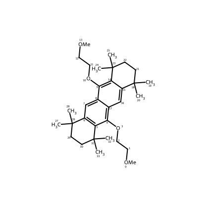 COCCOc1c2c(cc3c(OCCOC)c4c(cc13)C(C)(C)CCC4(C)C)C(C)(C)CCC2(C)C